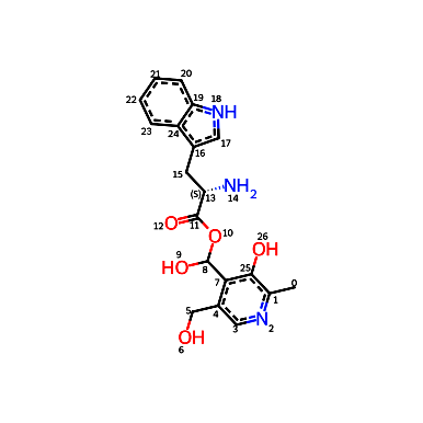 Cc1ncc(CO)c(C(O)OC(=O)[C@@H](N)Cc2c[nH]c3ccccc23)c1O